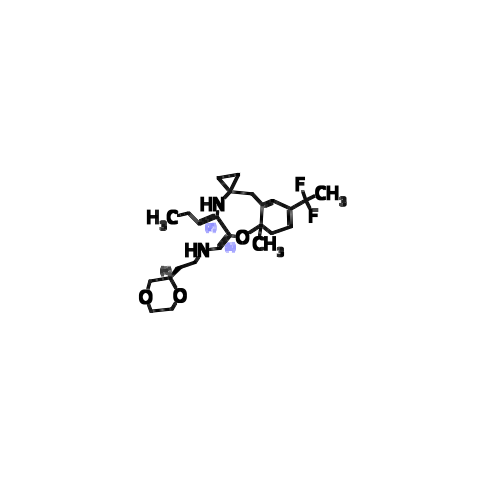 CC/C=C1\NC2(CC2)CC2=CC(C(C)(F)F)=CCC2(C)O\C1=C\NCC[C@@H]1COCCO1